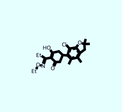 CCON=C(CC)C1=C(O)CC(c2c(C)c(C)c3c(c2Cl)OC(C)(C)C3)CC1=O